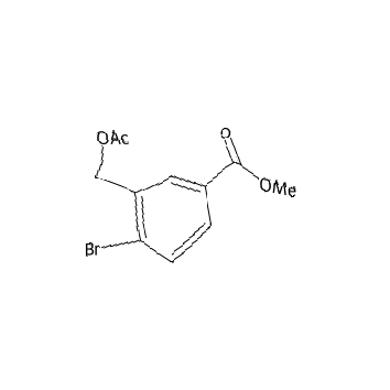 COC(=O)c1ccc(Br)c(COC(C)=O)c1